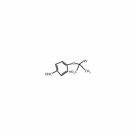 CCCC(C)(Oc1ccc(C=O)cc1)C(=O)O